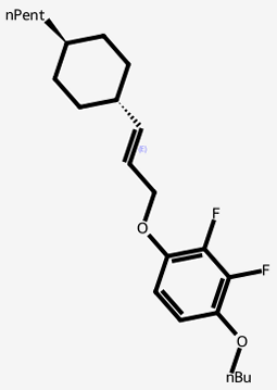 CCCCC[C@H]1CC[C@H](/C=C/COc2ccc(OCCCC)c(F)c2F)CC1